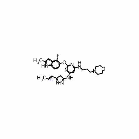 C/C=C/C1=NN=C(Nc2cc(NCCCN3CCOCC3)nc(Oc3ccc4[nH]c(C)cc4c3F)n2)C1